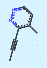 CC#Cc1nnccc1C